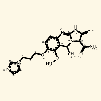 COc1c(OCCCn2ccnc2)ccc2c1C(C)N1C(=N2)NC(=O)C1C(N)=O